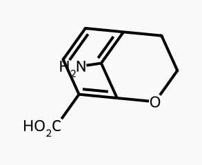 Nc1c2ccc(C(=O)O)c1OCC2